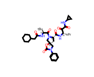 CCC[C@H](NC(=O)[C@@H]1C[C@@]2(CN(c3ccccc3)C(=O)O2)CN1C(=O)[C@@H](NC(=O)CC1CCCCC1)C(C)(C)C)C(=O)C(=O)NC1CC1